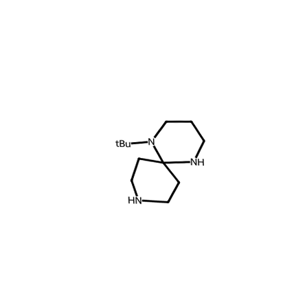 CC(C)(C)N1CCCNC12CCNCC2